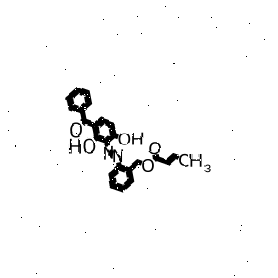 CC=CC(=O)OCc1ccccc1N=Nc1c(O)ccc(C(=O)c2ccccc2)c1O